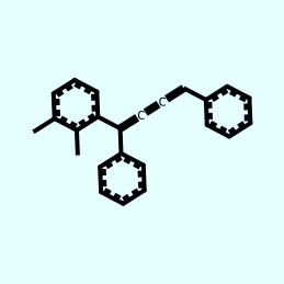 Cc1cccc(C(=C=C=Cc2ccccc2)c2ccccc2)c1C